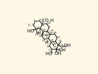 C[C@@H]1CC[C@]2(C(=O)O)CC[C@]3(C)C(=CC[C@@H]4[C@@]5(C)CC(O)C(O)(O)C(C)(CO)C5CC[C@]43C)[C@@H]2[C@]1(C)O